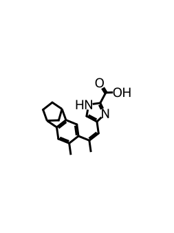 C/C(=C/c1c[nH]c(C(=O)O)n1)c1cc2c(cc1C)C1CCC2C1